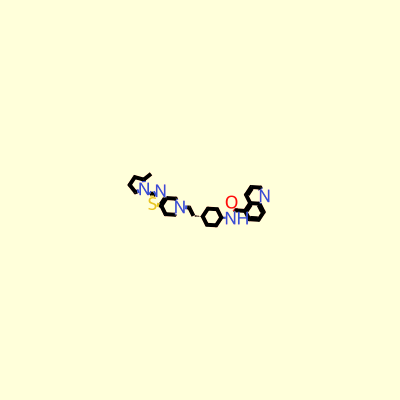 CC1CCCN1c1nc2c(s1)CCN(CC[C@H]1CC[C@H](NC(=O)c3cccc4ncccc34)CC1)C2